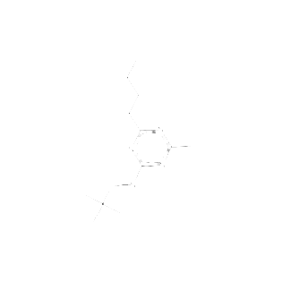 CCCCc1nc(Cl)nc(NOC(C)(C)C)n1